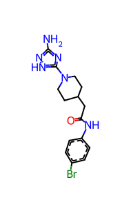 Nc1n[nH]c(N2CCC(CC(=O)Nc3ccc(Br)cc3)CC2)n1